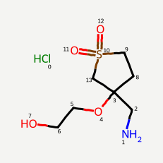 Cl.NCC1(OCCO)CCS(=O)(=O)C1